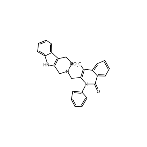 O=C(O)c1c(CN2CCc3c([nH]c4ccccc34)C2)n(-c2ccccc2)c(=O)c2ccccc12